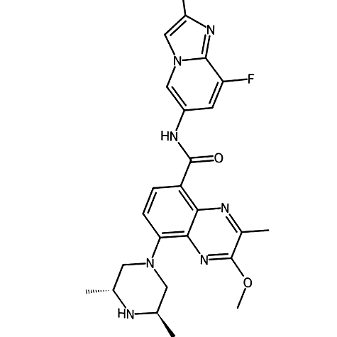 COc1nc2c(N3C[C@@H](C)N[C@H](C)C3)ccc(C(=O)Nc3cc(F)c4nc(C)cn4c3)c2nc1C